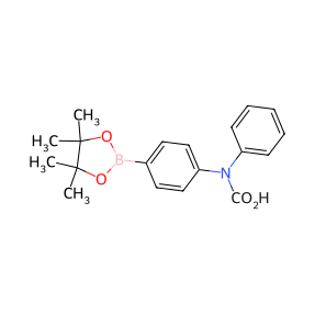 CC1(C)OB(c2ccc(N(C(=O)O)c3ccccc3)cc2)OC1(C)C